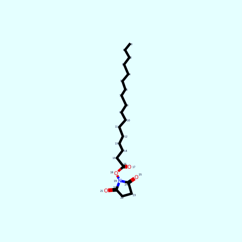 CCCCCCCCCCCCCCCCC(=O)ON1C(=O)CCC1=O